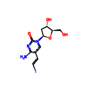 Nc1nc(=O)n([C@H]2C[C@H](O)[C@@H](CO)O2)cc1C=CI